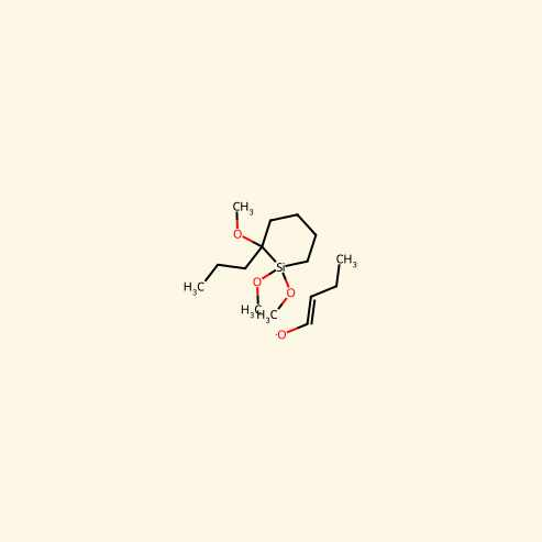 CCC=C[O].CCCC1(OC)CCCC[Si]1(OC)OC